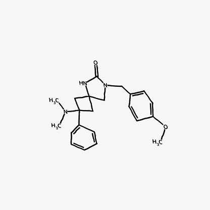 COc1ccc(CN2CC3(CC(c4ccccc4)(N(C)C)C3)NC2=O)cc1